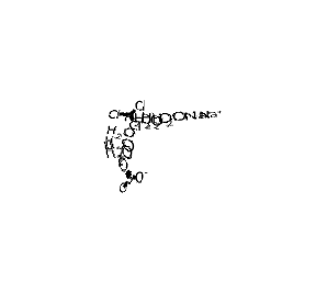 ClC(Cl)Cl.O.O.O.O.O.O.O.O=S([O-])[O-].[Na+].[Na+]